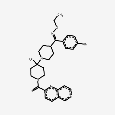 CCO/N=C(\c1ccc(Br)cc1)C1CCN(C2(C)CCN(C(=O)c3ccc4cnccc4n3)CC2)CC1